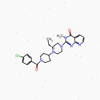 CC[C@H]1CN(c2nc3ncccc3c(=O)n2C)CCN1C1CCN(C(=O)c2ccc(Cl)cc2)CC1